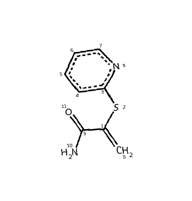 C=C(Sc1ccccn1)C(N)=O